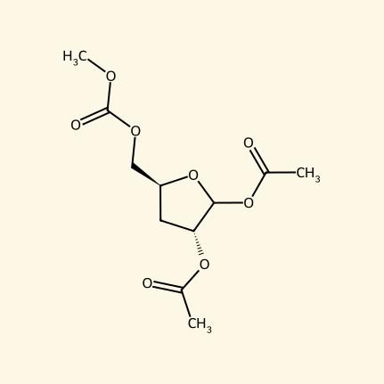 COC(=O)OC[C@@H]1C[C@@H](OC(C)=O)C(OC(C)=O)O1